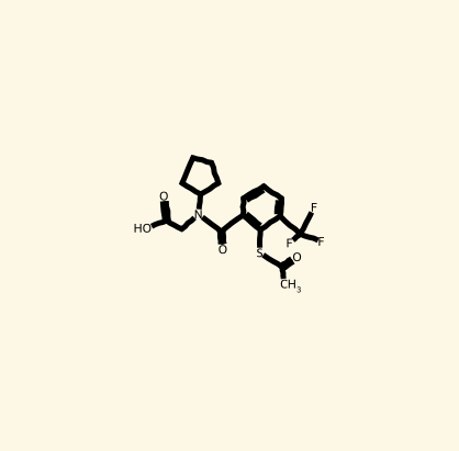 CC(=O)Sc1c(C(=O)N(CC(=O)O)C2CCCC2)cccc1C(F)(F)F